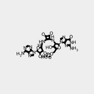 Nc1nc2c(ncn2[C@@H]2OC3=C(O)C2Nc2c(c(=O)c2=O)NC[C@H]2O[C@@H](n4cnc5c(N)ncnc54)C(O)C2OP(=O)(O)OC3)c(=O)[nH]1